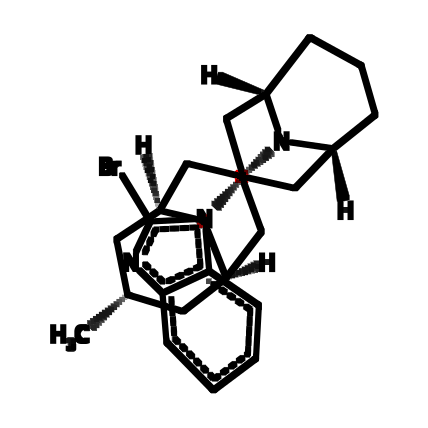 C[C@@H]1C[C@@H]2C[C@H](C1)C[C@@H](N1[C@@H]3CCC[C@H]1C[C@@H](n1c(Br)nc4ccccc41)C3)C2